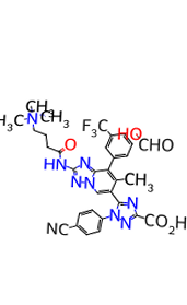 Cc1c(-c2nc(C(=O)O)nn2-c2ccc(C#N)cc2)cn2nc(NC(=O)CCC[N+](C)(C)C)nc2c1-c1cccc(C(F)(F)F)c1.O=CO